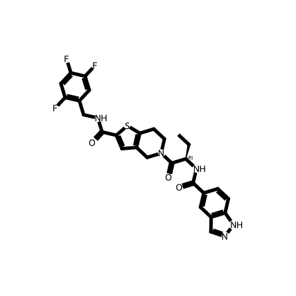 CC[C@@H](NC(=O)c1ccc2[nH]ncc2c1)C(=O)N1CCc2sc(C(=O)NCc3cc(F)c(F)cc3F)cc2C1